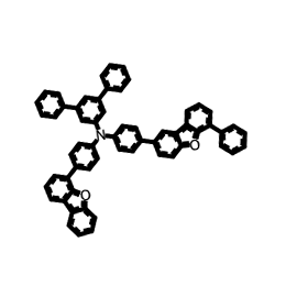 c1ccc(-c2cc(-c3ccccc3)cc(N(c3ccc(-c4ccc5oc6c(-c7ccccc7)cccc6c5c4)cc3)c3ccc(-c4cccc5c4oc4ccccc45)cc3)c2)cc1